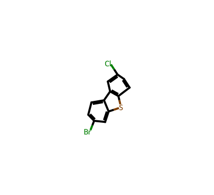 Clc1ccc2sc3cc(Br)ccc3c2c1